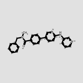 CN(Cc1ccccc1)C(=O)c1ccc(-c2ccc(Nc3cccnc3)nc2)cc1